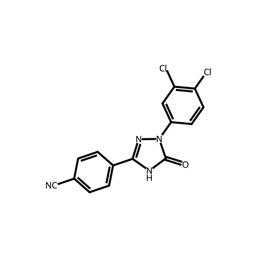 N#Cc1ccc(-c2nn(-c3ccc(Cl)c(Cl)c3)c(=O)[nH]2)cc1